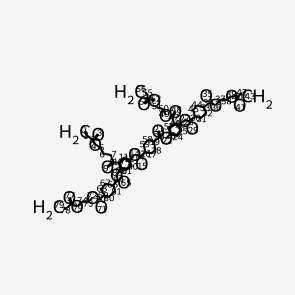 C=CC(=O)OCCCC(=O)c1cc(OC(=O)C2CCC(C(=O)Oc3ccc(OC(=O)C4CCC(C(=O)OCCOC(=O)C=C)CC4)c(C(=O)OCCOC(=O)C=C)c3)CC2)ccc1OC(=O)C1CCC(C(=O)OCCOC(=O)C=C)CC1